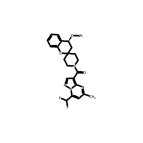 Cc1cc(C(F)F)n2ncc(C(=O)N3CCC4(CC3)C[C@H](OC(C)C)c3ccccc3O4)c2n1